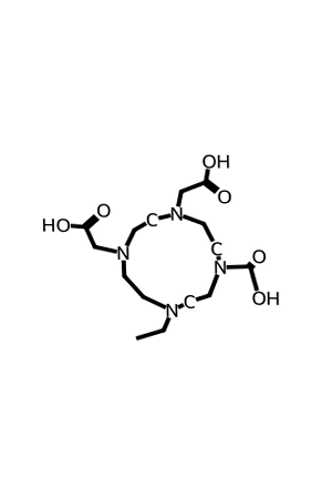 CCN1CCN(CC(=O)O)CCN(CC(=O)O)CCN(C(=O)O)CC1